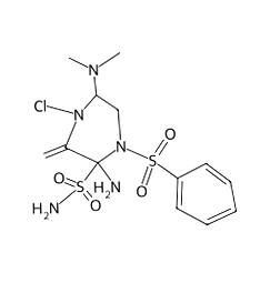 C=C1N(Cl)C(N(C)C)CN(S(=O)(=O)c2ccccc2)C1(N)S(N)(=O)=O